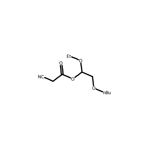 CCCCOCC(OCC)OC(=O)CC#N